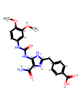 COc1ccc(NC(=O)Nc2[nH]c(Cc3ccc(C(=O)O)cc3)nc2C(N)=O)cc1OC